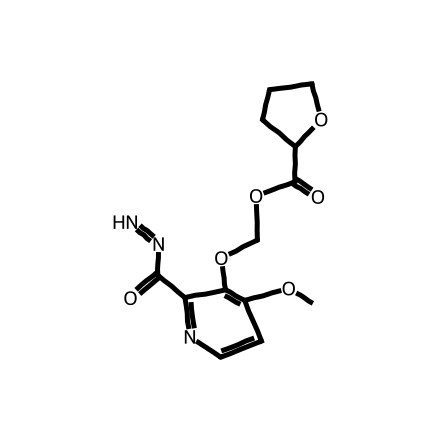 COc1ccnc(C(=O)N=N)c1OCOC(=O)C1CCCO1